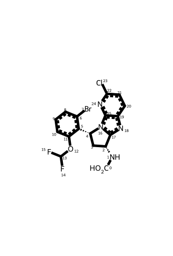 O=C(O)N[C@@H]1C[C@H](c2c(Br)cccc2OC(F)F)n2c1nc1ccc(Cl)nc12